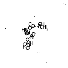 CN(C)CCCOc1ccc(Nc2nccc(-c3c(-c4cccc(NC(=O)c5c(F)cccc5F)c4)nn4ccccc34)n2)cc1Cl